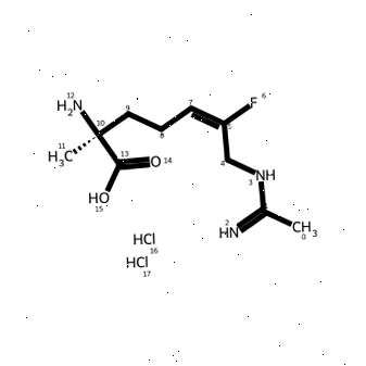 CC(=N)NC/C(F)=C\CC[C@](C)(N)C(=O)O.Cl.Cl